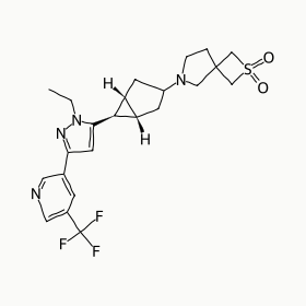 CCn1nc(-c2cncc(C(F)(F)F)c2)cc1[C@H]1[C@@H]2CC(N3CCC4(C3)CS(=O)(=O)C4)C[C@@H]21